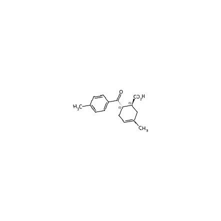 CC1=CC[C@H](C(=O)c2ccc(C)cc2)[C@@H](C(=O)O)C1